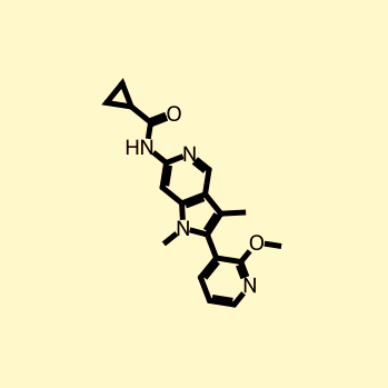 COc1ncccc1-c1c(C)c2cnc(NC(=O)C3CC3)cc2n1C